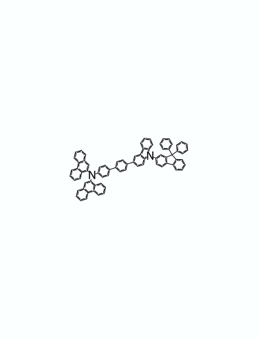 c1ccc(C2(c3ccccc3)c3ccccc3-c3ccc(-n4c5ccccc5c5cc(-c6ccc(-c7ccc(N(c8cc9ccccc9c9ccccc89)c8cc9ccccc9c9ccccc89)cc7)cc6)ccc54)cc32)cc1